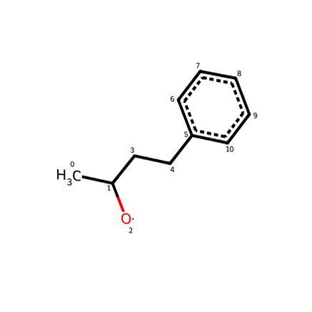 CC([O])CCc1ccccc1